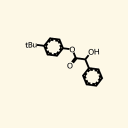 CC(C)(C)c1ccc(OC(=O)C(O)c2ccccc2)cc1